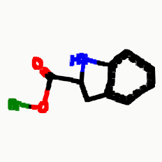 O=C(OBr)C1Cc2ccccc2N1